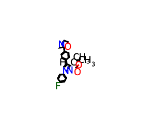 CC(C)(C)OC=O.Fc1ccc(-n2cc(-c3ccc(C45CN4CCO5)cc3)cn2)cc1